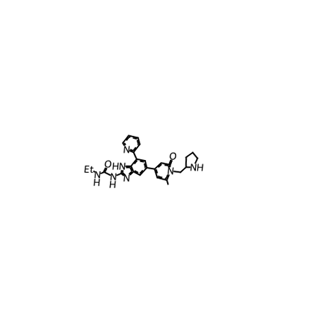 CCNC(=O)Nc1nc2cc(-c3cc(C)n(CC4CCCN4)c(=O)c3)cc(-c3ccccn3)c2[nH]1